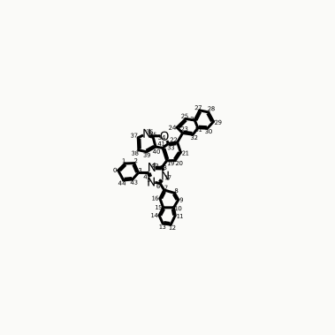 c1ccc(-c2nc(-c3ccc4ccccc4c3)nc(-c3ccc(-c4ccc5ccccc5c4)c4oc5ncccc5c34)n2)cc1